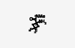 CNC(=O)C1(N)CC(F)(F)C1